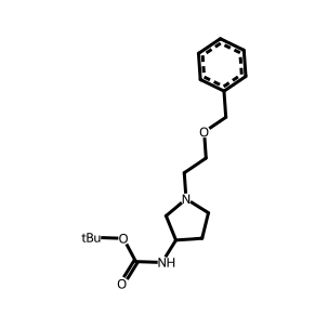 CC(C)(C)OC(=O)NC1CCN(CCOCc2ccccc2)C1